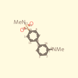 CNc1cccc(-c2ccc(S(=O)(=O)NC)cc2)c1